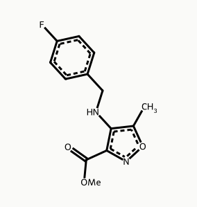 COC(=O)c1noc(C)c1NCc1ccc(F)cc1